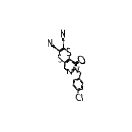 N#CC1=C(C#N)Sc2c(cnn(Cc3ccc(Cl)cc3)c2=O)S1